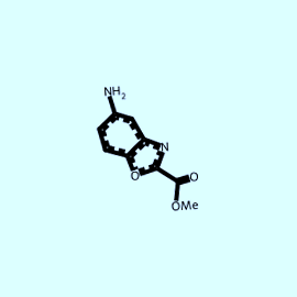 COC(=O)c1nc2cc(N)ccc2o1